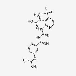 CC(C)Oc1ccnc(C(=N)NC(=S)Nc2nccc(C(F)(F)F)c2N(C)C(=O)O)c1